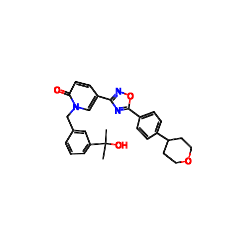 CC(C)(O)c1cccc(Cn2cc(-c3noc(-c4ccc(C5CCOCC5)cc4)n3)ccc2=O)c1